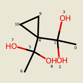 CC(O)(O)C1(C(C)(O)O)CC1